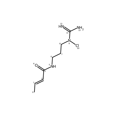 CC=CC(=O)NCCCN(Cl)C(=N)N